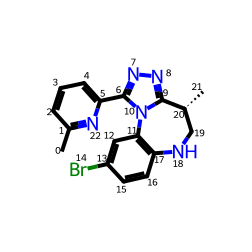 Cc1cccc(-c2nnc3n2-c2cc(Br)ccc2NC[C@H]3C)n1